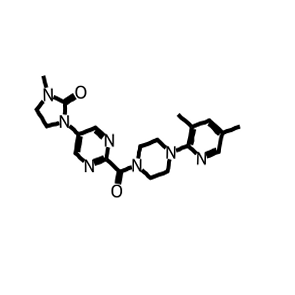 Cc1cnc(N2CCN(C(=O)c3ncc(N4CCN(C)C4=O)cn3)CC2)c(C)c1